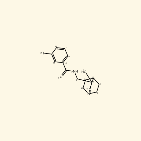 O=C(NCC1(O)CN2CCC1CC2)c1cccc(I)c1